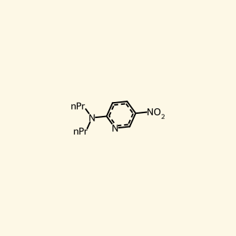 CCCN(CCC)c1ccc([N+](=O)[O-])cn1